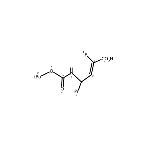 CC(C)C(C=C(F)C(=O)O)NC(=O)OC(C)(C)C